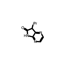 CC(C)C1C(=O)Nc2nccnc21